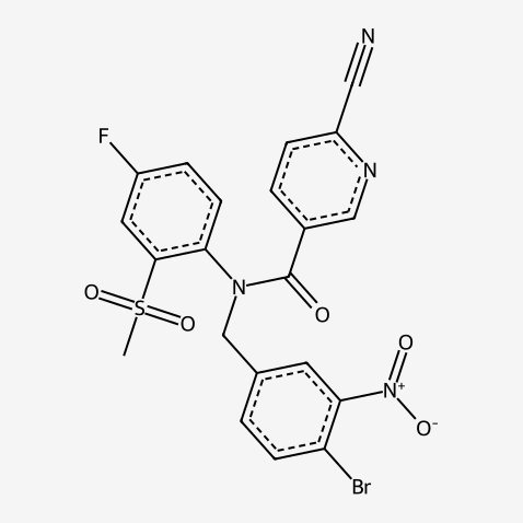 CS(=O)(=O)c1cc(F)ccc1N(Cc1ccc(Br)c([N+](=O)[O-])c1)C(=O)c1ccc(C#N)nc1